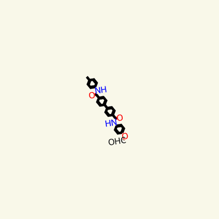 Cc1ccc(NC(=O)c2ccc(-c3ccc(C(=O)Nc4ccc(OC=O)cc4)cc3)cc2)cc1